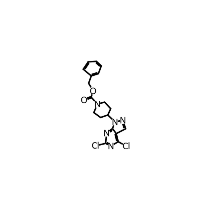 O=C(OCc1ccccc1)N1CCC(n2ncc3c(Cl)nc(Cl)nc32)CC1